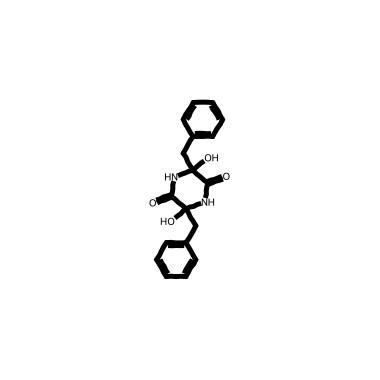 O=C1NC(O)(Cc2ccccc2)C(=O)NC1(O)Cc1ccccc1